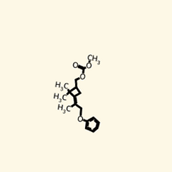 COC(=O)OCC1C/C(=C(/C)COc2ccccc2)C1(C)C